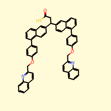 O=C(S)CC(c1ccc2c(-c3ccc(OCc4ccc5ccccc5n4)cc3)cccc2c1)c1ccc2c(-c3ccc(OCc4ccc5ccccc5n4)cc3)cccc2c1